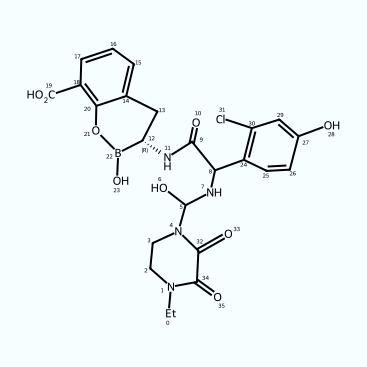 CCN1CCN(C(O)NC(C(=O)N[C@H]2Cc3cccc(C(=O)O)c3OB2O)c2ccc(O)cc2Cl)C(=O)C1=O